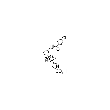 O=C(NCCc1cccc(S(=O)(=O)NC(=O)c2ccc(C(=O)O)nc2)c1)c1ccc(Cl)cc1